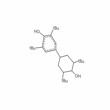 CC(C)(C)c1cc(C2CC(C(C)(C)C)C(O)C(C(C)(C)C)C2)cc(C(C)(C)C)c1O